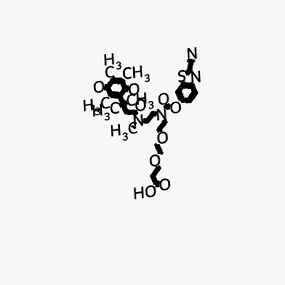 CC1=C(C)C(=O)C(C(C)(C)CC(=O)N(C)CCN(CCOCCOCCC(=O)O)C(=O)Oc2ccc3nc(C#N)sc3c2)=C(C)C1=O